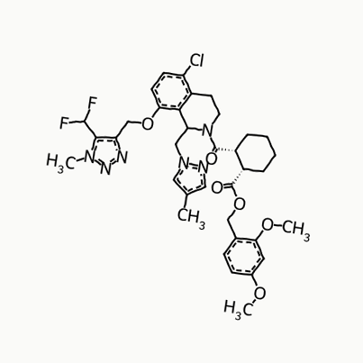 COc1ccc(COC(=O)[C@H]2CCCC[C@H]2C(=O)N2CCc3c(Cl)ccc(OCc4nnn(C)c4C(F)F)c3C2Cn2cc(C)cn2)c(OC)c1